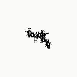 C=CCn1c(=O)c2cnc(Nc3ccc4c(ccn4C(C)=O)c3)nc2n1-c1cccc(OC2CCN(C)CC2)n1